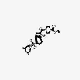 CCOC(=O)N1CCN(C(=O)c2cc3cc(S(=O)(=O)N4CC(C)CC(C)C4)ccc3[nH]2)CC1